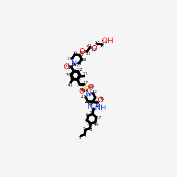 CCCCC1CCC(C2=NC3(CCN(S(=O)(=O)C=Cc4c(C)cc(C(=O)N5CCC(OCCOCCO)CC5)cc4C)CC3)C(=O)N2)CC1